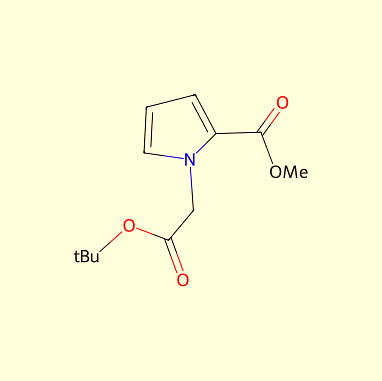 COC(=O)c1cccn1CC(=O)OC(C)(C)C